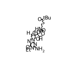 CCOc1nc(N)nc2c1ncn2[C@@H]1O[C@@H]2CO[P@@](=O)(NCCSC(=O)C(C)(C)C)O[C@H]2[C@@]1(C)F